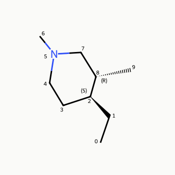 CC[C@H]1CCN(C)C[C@@H]1C